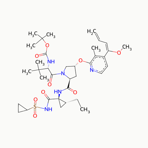 C=C/C=C(/OC)c1ccnc(O[C@@H]2C[C@@H](C(=O)N[C@]3(C(=O)NS(=O)(=O)C4CC4)C[C@H]3CC)N(C(=O)[C@@H](NC(=O)OC(C)(C)C)C(C)(C)C)C2)c1C